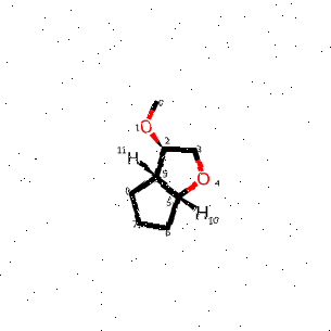 CO[C@H]1CO[C@@H]2C[CH]C[C@H]12